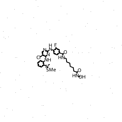 CSN(C)c1ccccc1Nc1nc(Nc2ccc(C(=O)NCCCCCCC(=O)NO)cc2F)ncc1Cl